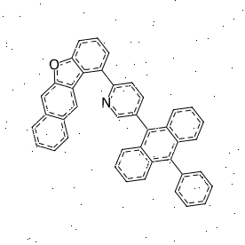 c1ccc(-c2c3ccccc3c(-c3ccc(-c4cccc5oc6cc7ccccc7cc6c45)nc3)c3ccccc23)cc1